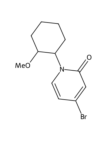 COC1CCCCC1n1ccc(Br)cc1=O